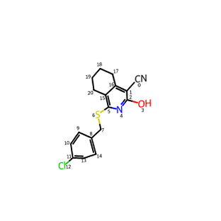 N#Cc1c(O)nc(SCc2ccc(Cl)cc2)c2c1CCCC2